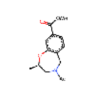 COC(=O)c1ccc2c(c1)O[C@H](C)CN(C(C)=O)C2